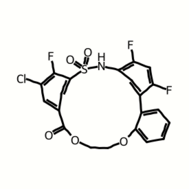 O=C1OCCOc2ccccc2-c2cc(c(F)cc2F)NS(=O)(=O)c2cc1cc(Cl)c2F